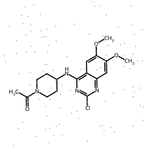 COc1cc2nc(Cl)nc(NC3CCN(C(C)=O)CC3)c2cc1OC